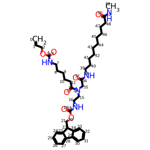 C=CCOC(=O)NCCCCCC(=O)N(CCNC(=O)OCC1c2ccccc2-c2ccccc21)CC(=O)NCCCCCCCCCCC(=O)NC